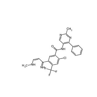 CN/C=C\C(=N)c1cc(C(=O)Nc2cnc(C)nc2-c2ccccc2)c(Cl)cc1C(F)(F)F